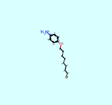 Nc1ccc(OCCCCCCCCBr)cc1